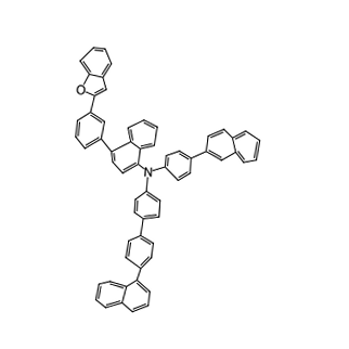 c1cc(-c2cc3ccccc3o2)cc(-c2ccc(N(c3ccc(-c4ccc(-c5cccc6ccccc56)cc4)cc3)c3ccc(-c4ccc5ccccc5c4)cc3)c3ccccc23)c1